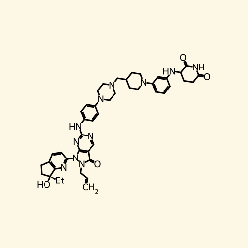 C=CCn1c(=O)c2cnc(Nc3ccc(N4CCN(CC5CCN(c6cccc(NC7CCC(=O)NC7=O)c6)CC5)CC4)cc3)nc2n1-c1ccc2c(n1)[C@@](O)(CC)CC2